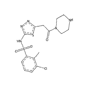 Cc1c(Cl)cccc1S(=O)(=O)Nc1nnc(CC(=O)N2CCNCC2)s1